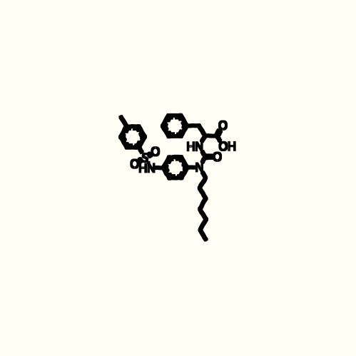 CCCCCCCN(C(=O)NC(Cc1ccccc1)C(=O)O)c1ccc(NS(=O)(=O)c2ccc(C)cc2)cc1